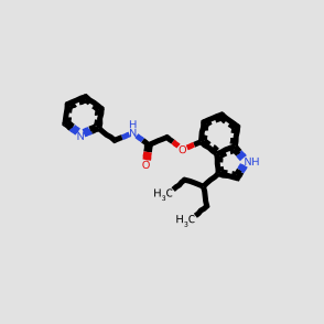 CCC(CC)c1c[nH]c2cccc(OCC(=O)NCc3ccccn3)c12